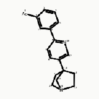 CC(=O)c1cccc(-c2ccc(C34CCN(CC3)C4)cn2)c1